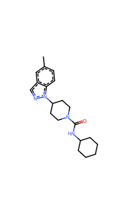 Cc1ccc2c(cnn2C2CCN(C(=O)NC3CCCCC3)CC2)c1